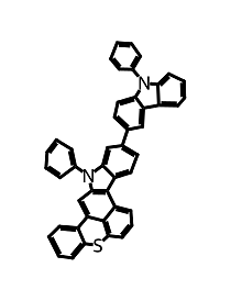 c1ccc(-n2c3ccccc3c3cc(-c4ccc5c6c7cccc8c7c(cc6n(-c6ccccc6)c5c4)-c4ccccc4S8)ccc32)cc1